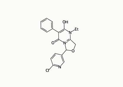 CCn1c(O)c(-c2ccccc2)c(=O)[n+]2c1COC2c1ccc(Cl)nc1